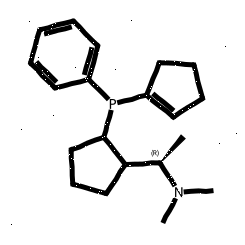 C[C@H](C1CCCC1P(C1=CCCC1)c1ccccc1)N(C)C